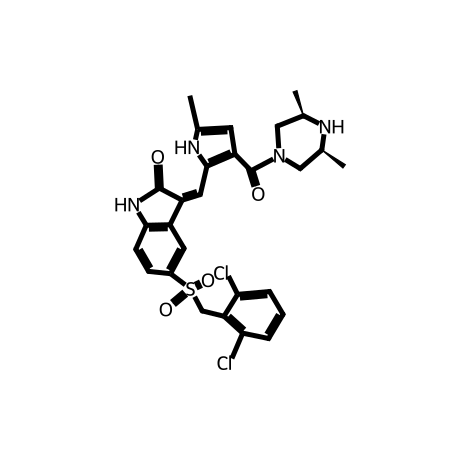 Cc1cc(C(=O)N2C[C@@H](C)N[C@@H](C)C2)c(/C=C2\C(=O)Nc3ccc(S(=O)(=O)Cc4c(Cl)cccc4Cl)cc32)[nH]1